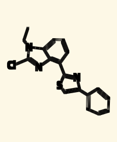 CCn1c(Cl)nc2c(-c3nc(-c4ccccc4)cs3)cccc21